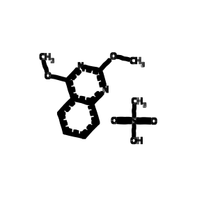 COc1nc(OC)c2ccccc2n1.CS(=O)(=O)O